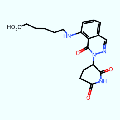 O=C(O)CCCCCNc1cccc2cnn(C3CCC(=O)NC3=O)c(=O)c12